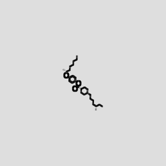 CCCCCC[C@@H](C)Oc1ccc(OC(=O)[C@H]2CC[C@H](CCCC[C@@H](C)CC)CC2)cc1